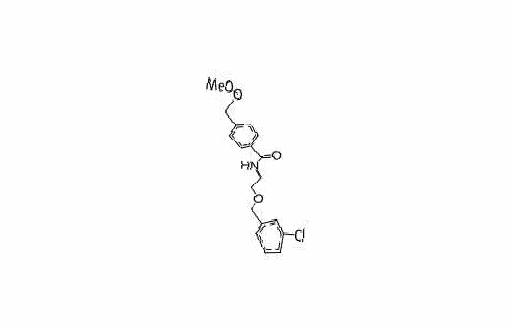 COOCc1ccc(C(=O)NCCOCc2cccc(Cl)c2)cc1